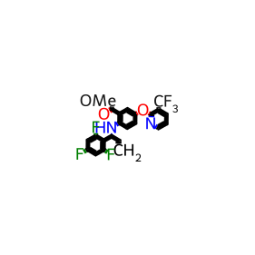 C=C[C@@H](Nc1ccc(Oc2ncccc2C(F)(F)F)cc1C(=O)OC)c1c(F)cc(F)cc1F